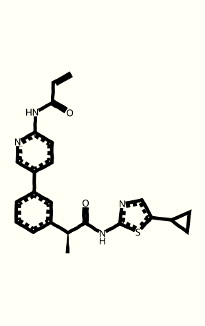 C=CC(=O)Nc1ccc(-c2cccc([C@H](C)C(=O)Nc3ncc(C4CC4)s3)c2)cn1